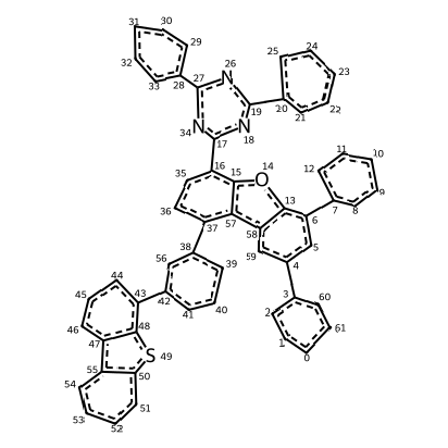 c1ccc(-c2cc(-c3ccccc3)c3oc4c(-c5nc(-c6ccccc6)nc(-c6ccccc6)n5)ccc(-c5cccc(-c6cccc7c6sc6ccccc67)c5)c4c3c2)cc1